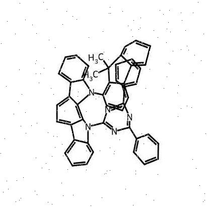 CC1(C)c2ccccc2-c2cccc(-n3c4ccccc4c4ccc5c6ccccc6n(-c6nc(-c7ccccc7)nc(-c7ccccc7)n6)c5c43)c21